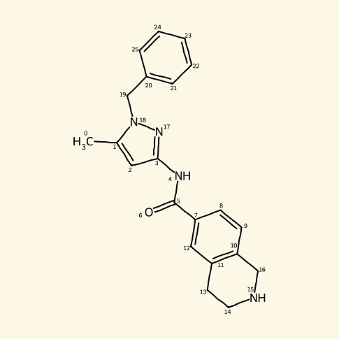 Cc1cc(NC(=O)c2ccc3c(c2)CCNC3)nn1Cc1ccccc1